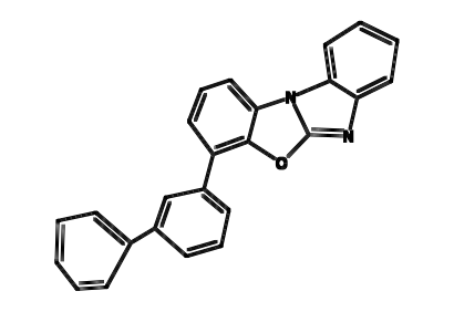 c1ccc(-c2cccc(-c3cccc4c3oc3nc5ccccc5n34)c2)cc1